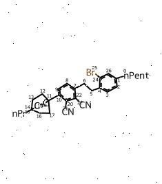 CCCCCc1ccc(CCc2ccc(C34CCC(CCC)(CC3)CC4)c(C#N)c2C#N)c(Br)c1